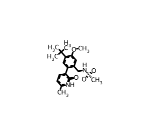 COc1cc(CNS(C)(=O)=O)c(-c2ccc(C)[nH]c2=O)cc1C(C)(C)C